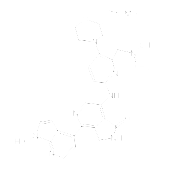 COC[C@@H]1CN(c2ccc(Nc3cnc(-c4ccnc5c4ccn5C)c4c3C(=O)NC4)nc2CN(C)C)CCO1